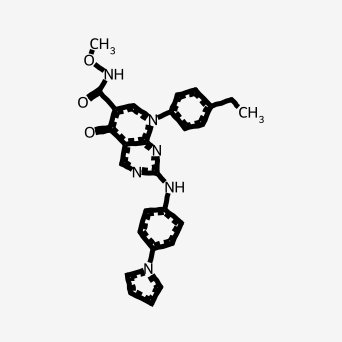 CCc1ccc(-n2cc(C(=O)NOC)c(=O)c3cnc(Nc4ccc(-n5cccc5)cc4)nc32)cc1